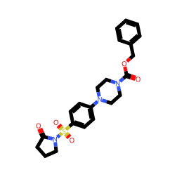 O=C(OCc1ccccc1)N1CCN(c2ccc(S(=O)(=O)N3CCCC3=O)cc2)CC1